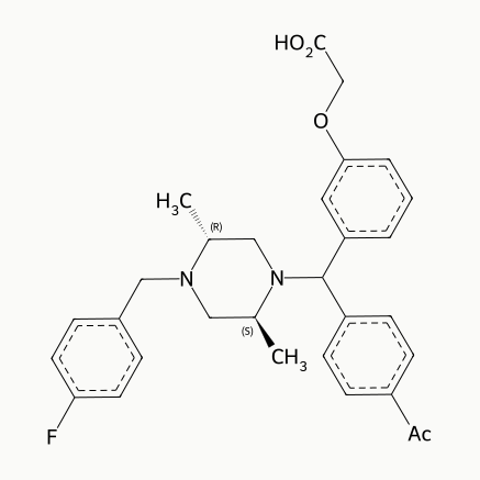 CC(=O)c1ccc(C(c2cccc(OCC(=O)O)c2)N2C[C@@H](C)N(Cc3ccc(F)cc3)C[C@@H]2C)cc1